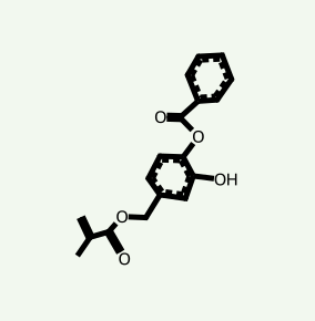 C=C(C)C(=O)OCc1ccc(OC(=O)c2ccccc2)c(O)c1